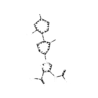 Cc1cc(-n2cc(NC(N)=O)c(C(N)=O)n2)ccc1-c1ccc(F)cc1O